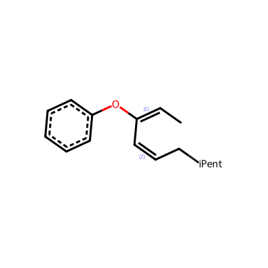 C/C=C(\C=C/CC(C)CCC)Oc1ccccc1